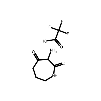 NC1C(=O)CCCNC1=O.O=C(O)C(F)(F)F